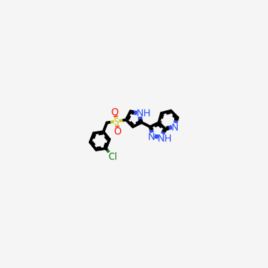 O=S(=O)(Cc1cccc(Cl)c1)c1c[nH]c(-c2n[nH]c3ncccc23)c1